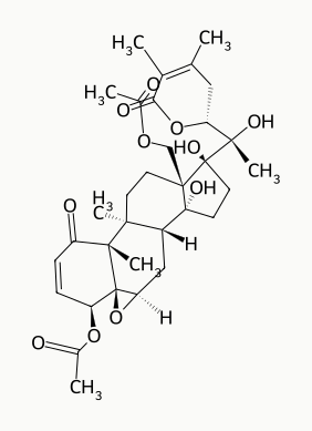 CC(=O)OC[C@]12CC[C@@]3(C)[C@@H](C[C@H]4O[C@]45[C@@H](OC(C)=O)C=CC(=O)[C@@]53C)[C@]1(O)CC[C@@]2(O)[C@@](C)(O)[C@H]1CC(C)=C(C)C(=O)O1